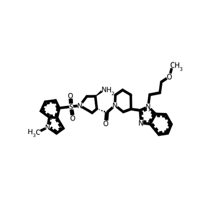 COCCCn1c(C2CCCN(C(=O)[C@@H]3CN(S(=O)(=O)c4cccc5c4ccn5C)C[C@H]3N)C2)nc2ccccc21